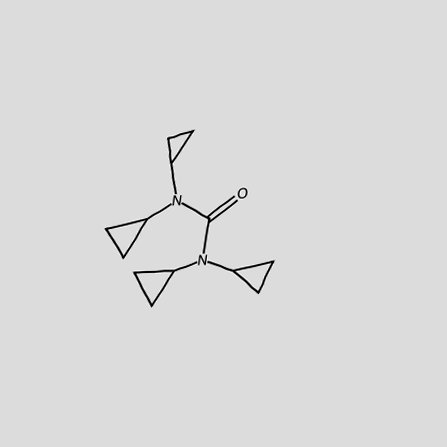 O=C(N(C1CC1)C1CC1)N(C1CC1)C1CC1